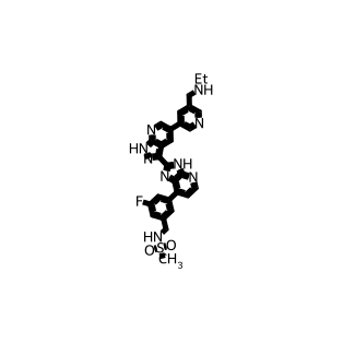 CCNCc1cncc(-c2cnc3[nH]nc(-c4nc5c(-c6cc(F)cc(CNS(C)(=O)=O)c6)ccnc5[nH]4)c3c2)c1